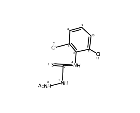 CC(=O)NNC(=S)Nc1c(Cl)cccc1Cl